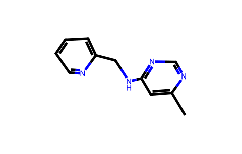 Cc1cc(NCc2ccccn2)ncn1